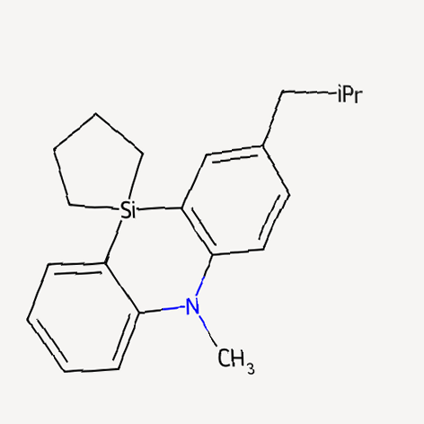 CC(C)Cc1ccc2c(c1)[Si]1(CCCC1)c1ccccc1N2C